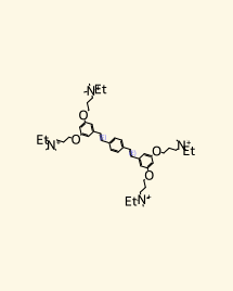 CC[N+](C)(C)CCCOc1cc(/C=C/c2ccc(/C=C/c3cc(OCCC[N+](C)(C)CC)cc(OCCC[N+](C)(C)CC)c3)cc2)cc(OCCC[N+](C)(C)CC)c1